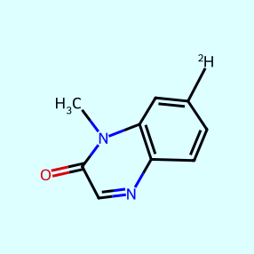 [2H]c1ccc2ncc(=O)n(C)c2c1